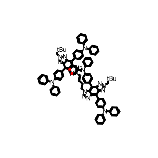 CC(C)(C)Cn1nc2c(-c3ccc(N(c4ccccc4)c4ccccc4)cc3)c3n[n+](CCCCn4nnc5c(-c6ccc(N(c7ccccc7)c7ccccc7)cc6)c6nn(CC(C)(C)C)nc6c(-c6ccc(N(c7ccccc7)c7ccccc7)cc6)c54)[n-]c3c(-c3ccc(N(c4ccccc4)c4ccccc4)cc3)c2n1